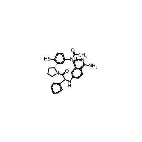 CC(=O)Nc1ccc(S)c([C@H]2CCCN2C(=O)[C@@H](Nc2ccc3c(N)nccc3c2)c2ccccc2)c1